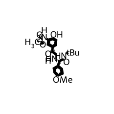 COc1ccc([C@H](NC[C@H](O)c2ccc(O)c(NS(C)(=O)=O)c2)C(=O)NC(C)(C)C)cc1